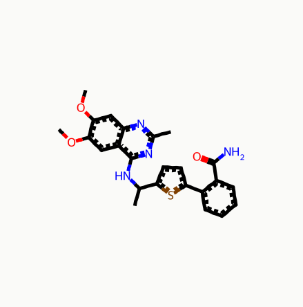 COc1cc2nc(C)nc(NC(C)c3ccc(-c4ccccc4C(N)=O)s3)c2cc1OC